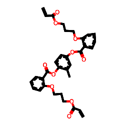 C=CC(=O)OCCCOc1ccccc1C(=O)Oc1ccc(OC(=O)c2ccccc2OCCCOC(=O)C=C)c(C)c1